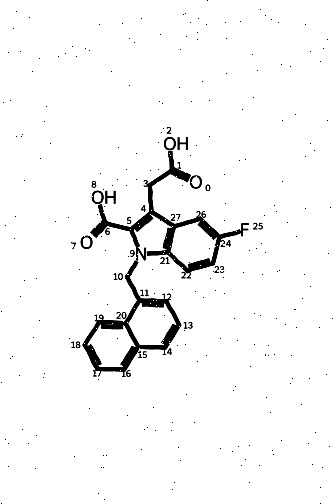 O=C(O)Cc1c(C(=O)O)n(Cc2cccc3ccccc23)c2ccc(F)cc12